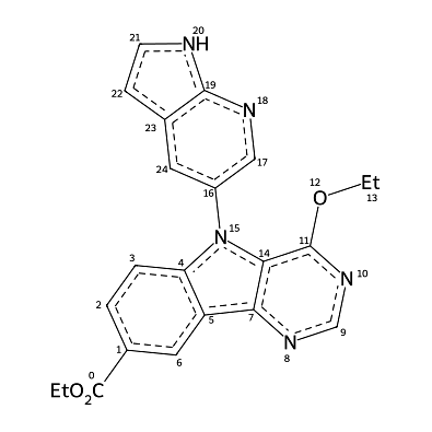 CCOC(=O)c1ccc2c(c1)c1ncnc(OCC)c1n2-c1cnc2[nH]ccc2c1